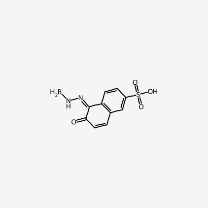 BN/N=C1\C(=O)C=Cc2cc(S(=O)(=O)O)ccc21